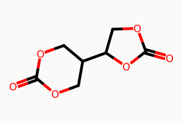 O=C1OCC(C2COC(=O)O2)CO1